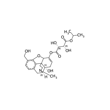 CC(C)OC(=O)[C@H](O)[C@@H](O)C(=O)OC1=CC[C@@]2(O)[C@H]3Cc4ccc(CO)c5c4C2(CCN3C)C1O5